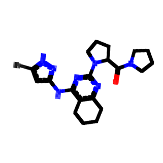 CC(C)c1cc(Nc2nc(N3CCCC3C(=O)N3CCCC3)nc3c2CCCC3)n[nH]1